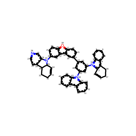 C1=Cc2c(c3ccccc3n2-c2cc(-c3ccc4oc5ccc(N6c7cnccc7C7CCC=CC76)cc5c4c3)cc(-n3c4ccccc4c4ccccc43)c2)CC1